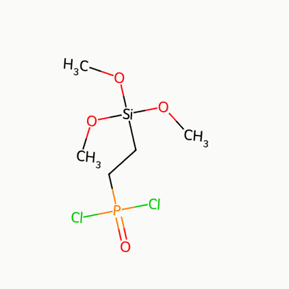 CO[Si](CCP(=O)(Cl)Cl)(OC)OC